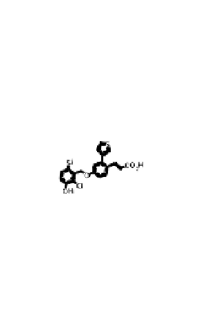 O=C(O)/C=C/c1ccc(OCc2c(Cl)ccc(O)c2Cl)cc1-c1ccsc1